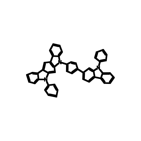 c1ccc(-n2c3ccccc3c3ccc(-c4ccc(-n5c6ccccc6c6cc7c8ccccc8n(-c8ccccc8)c7cc65)cc4)cc32)cc1